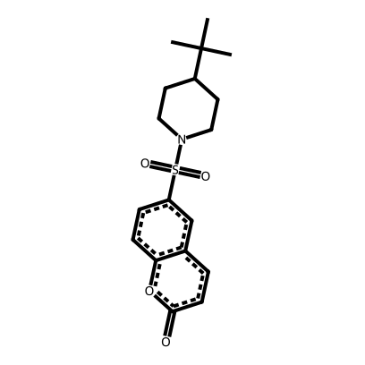 CC(C)(C)C1CCN(S(=O)(=O)c2ccc3oc(=O)ccc3c2)CC1